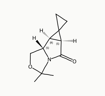 CC1(C)OC[C@@H]2[C@@H]3[C@H](C(=O)N21)C31CC1